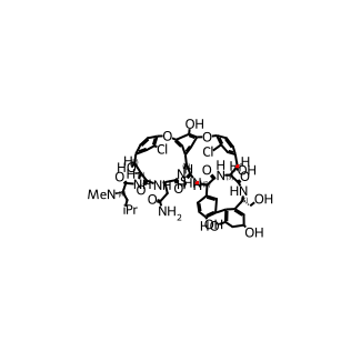 CN[C@H](CC(C)C)C(=O)N[C@H]1C(=O)NC(CC(N)=O)C(=O)N[C@H]2C(=S)N[C@H]3C(=O)N[C@H](C(=O)N[C@H](CO)C4=CC(O)CC(O)=C4c4cc3ccc4O)[C@H](O)c3ccc(c(Cl)c3)Oc3cc2cc(c3O)Oc2ccc(cc2Cl)[C@H]1O